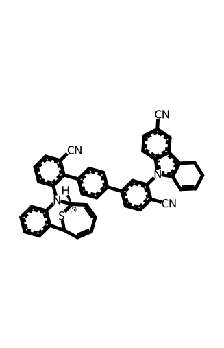 N#Cc1ccc2c(c1)c1c(n2-c2cc(-c3ccc(-c4c(C#N)cccc4N4c5ccccc5C5C=CC=C[C@@H]4S5)cc3)ccc2C#N)C=CCC1